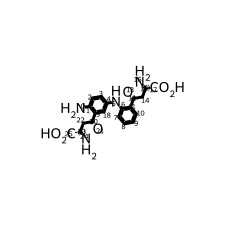 Nc1ccc(Nc2ccccc2C(=O)C[C@@H](N)C(=O)O)cc1C(=O)C[C@H](N)C(=O)O